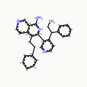 CCC(c1ccccc1)c1ccncc1-c1nc(N)c2cnccc2c1CCc1ccccc1